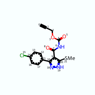 C#CCOC(=O)NC(=O)c1c(-c2ccc(Cl)cc2)n[nH]c1SC